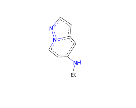 CCNc1ccn2nccc2c1